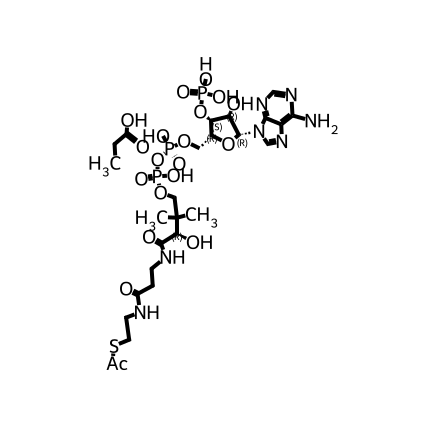 CC(=O)SCCNC(=O)CCNC(=O)[C@H](O)C(C)(C)COP(=O)(O)OP(=O)(O)OC[C@H]1O[C@@H](n2cnc3c(N)ncnc32)[C@H](O)[C@@H]1OP(=O)(O)O.CCC(=O)O